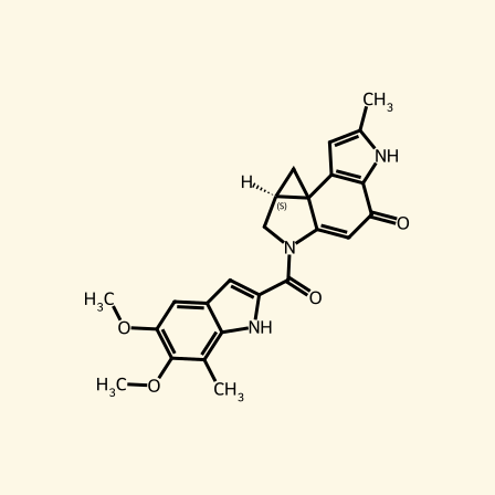 COc1cc2cc(C(=O)N3C[C@H]4CC45C3=CC(=O)c3[nH]c(C)cc35)[nH]c2c(C)c1OC